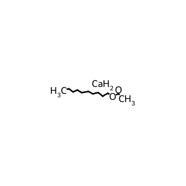 CCCCCCCCCCOC(C)=O.[CaH2]